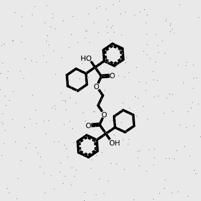 O=C(OCCOC(=O)C(O)(c1ccccc1)C1CCCCC1)C(O)(c1ccccc1)C1CCCCC1